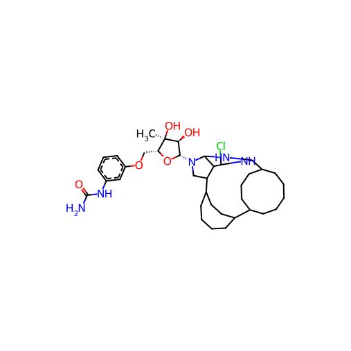 C[C@@]1(O)[C@@H](COc2cccc(NC(N)=O)c2)O[C@@H](N2CC3C4CCCCC(CC4)C4CCCCCC(CCC4)C4NC(Cl)C3C2N4)[C@@H]1O